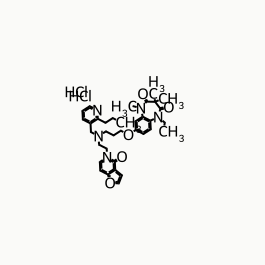 CCCc1ncccc1CN(CCCOc1ccc2c(c1)N(C)C(=O)C(C)(C)C(=O)N2CC)CCn1ccc2occc2c1=O.Cl.Cl